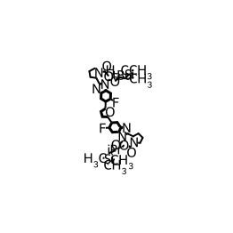 CC(C)OC(=O)N1CCCC1c1nc2cc(-c3ccc(-c4cc5nc(C6CCCN6C(=O)OC(C)(C)C)n(COCC[Si](C)(C)C)c5cc4F)o3)c(F)cc2n1COCC[Si](C)(C)C